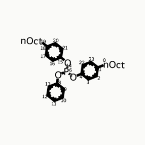 CCCCCCCCc1ccc(OP(Oc2ccccc2)Oc2ccc(CCCCCCCC)cc2)cc1